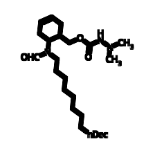 CCCCCCCCCCCCCCCCCCN(C=O)C1CC=CCC1COC(=O)NN(C)C